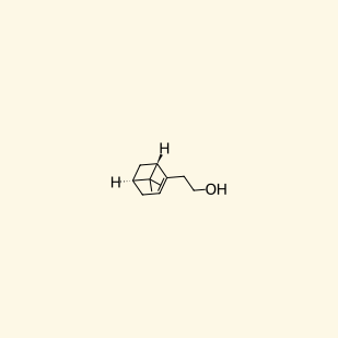 CC1(C)[C@H]2CC=C(CCO)[C@H]1C2